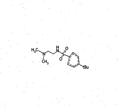 CN(C)CCNS(=O)(=O)c1ccc(C(C)(C)C)cc1